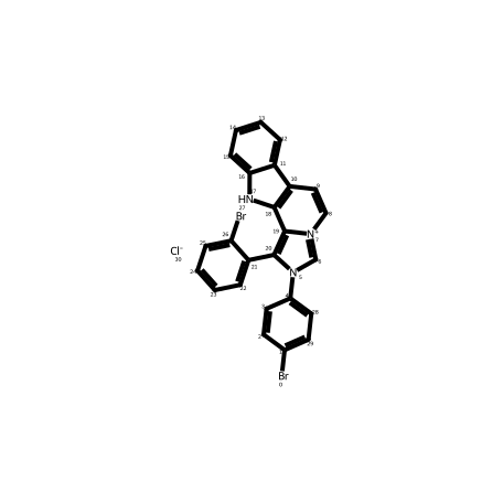 Brc1ccc(-n2c[n+]3ccc4c5ccccc5[nH]c4c3c2-c2ccccc2Br)cc1.[Cl-]